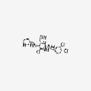 N=Cc1nc(NCc2ccc(Cl)c(Cl)c2)[nH]c(=O)c1NCc1cccnc1